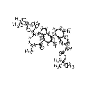 CN1CCN(C(=O)OC(C)(C)C)n2ccc3c(-c4ccc(F)c5sc(NC(=O)OC(C)(C)C)nc45)c(F)cc(c32)C1=O